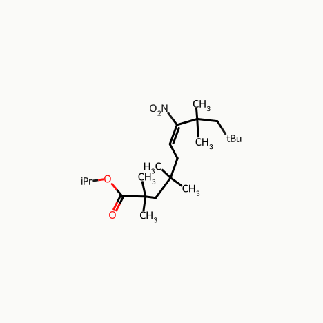 CC(C)OC(=O)C(C)(C)CC(C)(C)C/C=C(/[N+](=O)[O-])C(C)(C)CC(C)(C)C